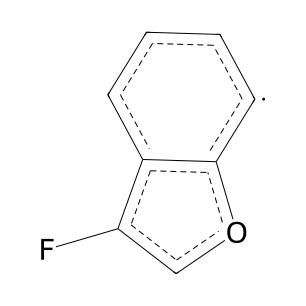 Fc1coc2[c]cccc12